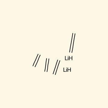 C=C.C=C.C=C.C=C.[LiH].[LiH]